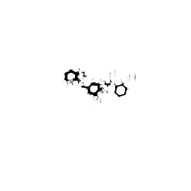 OC1CCCCC1Nc1nc2c(Br)cc(Cn3cnc4cccnc43)cc2s1